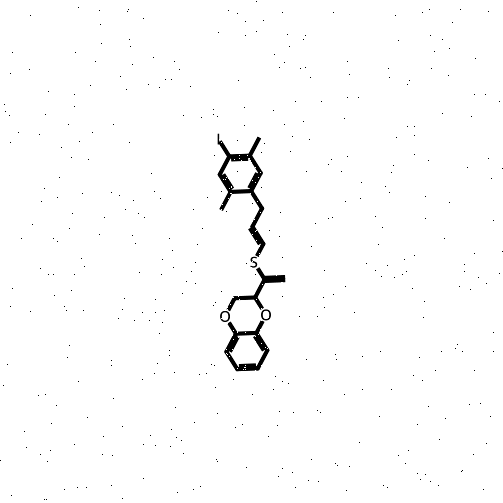 C=C(S/C=C/Cc1cc(C)c(I)cc1C)C1COc2ccccc2O1